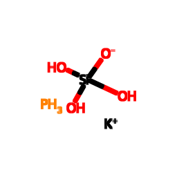 P.[K+].[O-][Si](O)(O)O